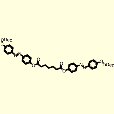 CCCCCCCCCCOc1ccc(/N=N/c2ccc(OC(=O)CCCCCC(=O)Oc3ccc(/N=N/c4ccc(OCCCCCCCCCC)cc4)cc3)cc2)cc1